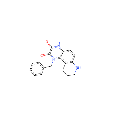 O=c1[nH]c2ccc3c(c2n(Cc2ccccc2)c1=O)CCCN3